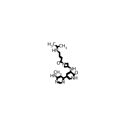 CNc1cc(-c2c[nH]c(=O)c(NC3CN(C(=O)C=CCNC(C)C)C3)c2)ncn1